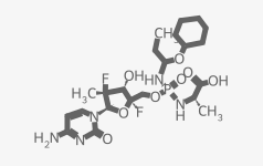 CCC(NP(=O)(N[C@@H](C)C(=O)O)OC[C@@]1(F)O[C@@H](n2ccc(N)nc2=O)[C@](C)(F)[C@@H]1O)OC1CCCCC1